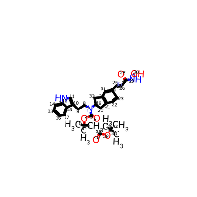 CC(C)(C)OC(=O)N(CCc1c[nH]c2ccccc12)C1Cc2ccc(/C=C/C(=O)NO)cc2C1.CC(C)(C)OC=O